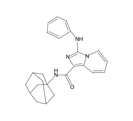 O=C(NC12CC3CC(CC(C3)C1)C2)c1nc(Nc2ccccc2)n2ccccc12